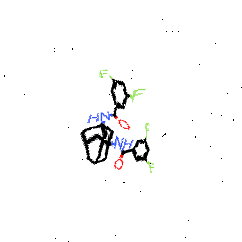 O=C(NC12CC3CC(C1)CC(NC(=O)c1cc(F)cc(F)c1)(C3)C2)c1cc(F)cc(F)c1